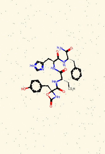 NC(=O)[C@H](Cc1ccccc1)NC(=O)[C@H](Cc1c[nH]cn1)NC(=O)[C@H](CC(=O)O)NC(=O)[C@]1(Cc2ccc(O)cc2)NC(=O)O1